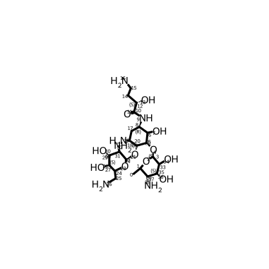 CC1O[C@@H](O[C@@H]2C(O)[C@H](NC(=O)[C@@H](O)CCN)CC(N)[C@H]2O[C@H]2OC(CN)[C@@H](O)[C@H](O)C2N)C(O)[C@@H](O)[C@@H]1N